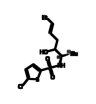 CCC=CCC(O)[C@H](NS(=O)(=O)c1ccc(Cl)s1)[C@@H](C)CC